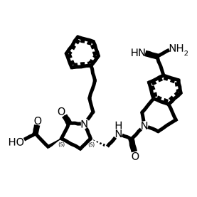 N=C(N)c1ccc2c(c1)CN(C(=O)NC[C@@H]1C[C@@H](CC(=O)O)C(=O)N1CCCc1ccccc1)CC2